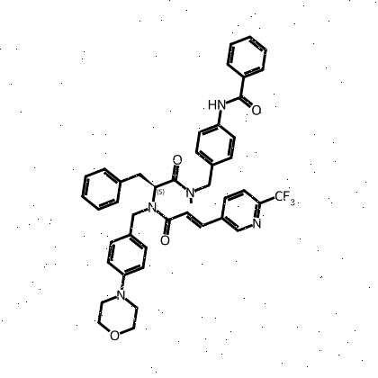 CN(Cc1ccc(NC(=O)c2ccccc2)cc1)C(=O)[C@H](Cc1ccccc1)N(Cc1ccc(N2CCOCC2)cc1)C(=O)C=Cc1ccc(C(F)(F)F)nc1